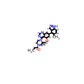 C=CC(=O)N1CCN2c3ncnc4cc(-c5c(C)ccc6[nH]ncc56)cc(c34)OC[C@@H]2C1